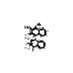 CC1c2ccccc2C=C(O)C1(C)O.CCCCc1c(O)c(O)cc2ccccc12